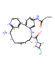 COC(=O)Nc1ccc2c(c1)N[C@@H](C(=O)N1CC(F)C1)CCCCC[C@H](N)c1cc-2ccn1